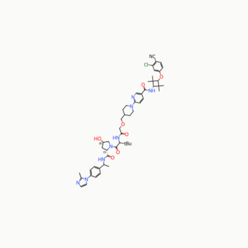 Cc1nccn1-c1ccc(C(C)NC(=O)[C@@H]2C[C@@H](O)CN2C(=O)C(NC(=O)COCC2CCN(c3ccc(C(=O)N[C@H]4C(C)(C)[C@H](Oc5ccc(C#N)c(Cl)c5)C4(C)C)cn3)CC2)C(C)(C)C)cc1